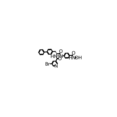 O=C(NO)c1ccc(NC(=O)[C@H](Cc2ccc(-c3ccccc3)cc2)NC(=O)c2cncc(Br)c2)cc1